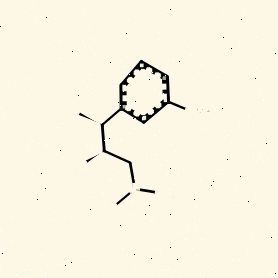 CC[C@@H](c1cccc(OC)c1)[C@H](C)CN(C)C